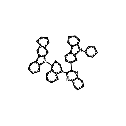 c1ccc(-n2c3ccccc3c3ccc(-c4nc5ccccc5nc4-c4ccc(-n5c6ccccc6c6cc7ccccc7cc65)c5ccccc45)cc32)cc1